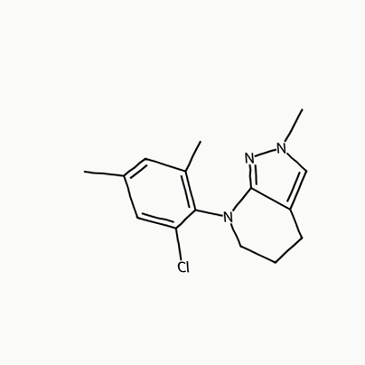 Cc1cc(C)c(N2CCCc3cn(C)nc32)c(Cl)c1